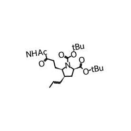 CC=C[C@@H]1C[C@H](C(=O)OC(C)(C)C)N(C(=O)OC(C)(C)C)[C@@H]1CCC(=O)NC(C)=O